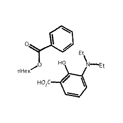 CCCCCCOC(=O)c1ccccc1.CCN(CC)c1cccc(C(=O)O)c1O